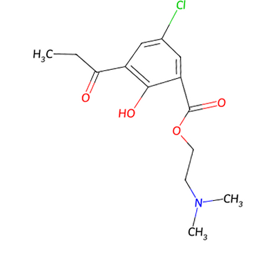 CCC(=O)c1cc(Cl)cc(C(=O)OCCN(C)C)c1O